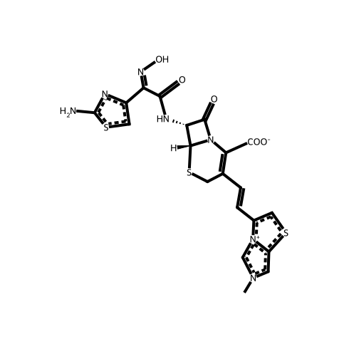 Cn1cc2scc(/C=C/C3=C(C(=O)[O-])N4C(=O)[C@@H](NC(=O)/C(=N\O)c5csc(N)n5)[C@H]4SC3)[n+]2c1